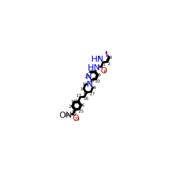 N=C(/C=C\I)C(=O)Nc1ccc(N2CCC(CCc3ccc(C(=O)N=O)cc3)CC2)nc1